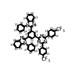 FC(F)(F)c1ccc(-c2nc(-c3ccc(C(F)(F)F)cc3)nc(-c3cc(-c4nc5ccccc5n4-c4ccccc4)cc(-c4nc5ccccc5n4-c4ccccc4)c3)n2)cc1